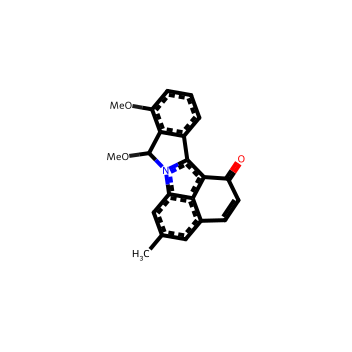 COc1cccc2c1C(OC)n1c-2c2c3c(cc(C)cc31)C=CC2=O